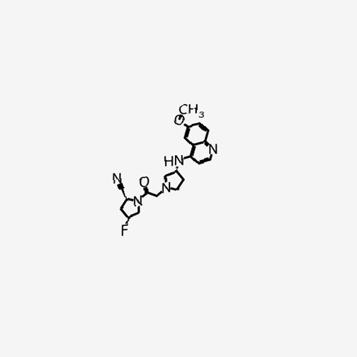 COc1ccc2nccc(N[C@@H]3CCN(CC(=O)N4C[C@@H](F)C[C@H]4C#N)C3)c2c1